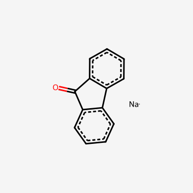 O=C1c2ccccc2-c2ccccc21.[Na]